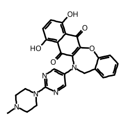 CN1CCN(c2ncc(N3Cc4ccccc4OC4=C3C(=O)c3c(O)ccc(O)c3C4=O)cn2)CC1